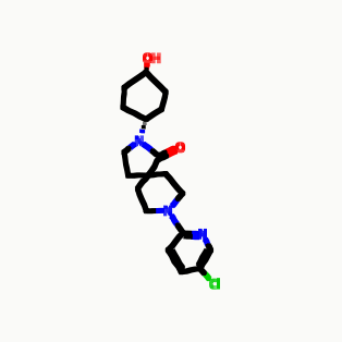 O=C1N([C@H]2CC[C@H](O)CC2)CCC12CCN(c1ccc(Cl)cn1)CC2